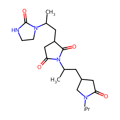 CC(C)N1CC(CC(C)N2C(=O)CC(CC(C)N3CCNC3=O)C2=O)CC1=O